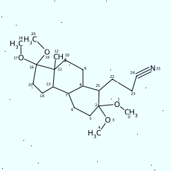 COC1(OC)CCC2C(CCC3(C)C2CCC3(OC)OC)C1CCC#N